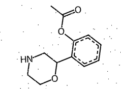 CC(=O)Oc1ccccc1C1CNCCO1